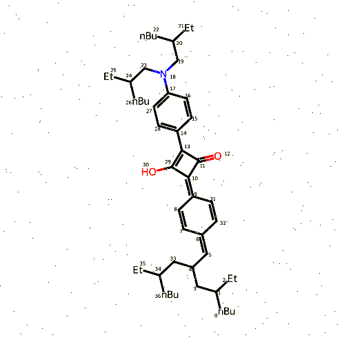 CCCCC(CC)CC(C=c1ccc(=C2C(=O)C(c3ccc(N(CC(CC)CCCC)CC(CC)CCCC)cc3)=C2O)cc1)CC(CC)CCCC